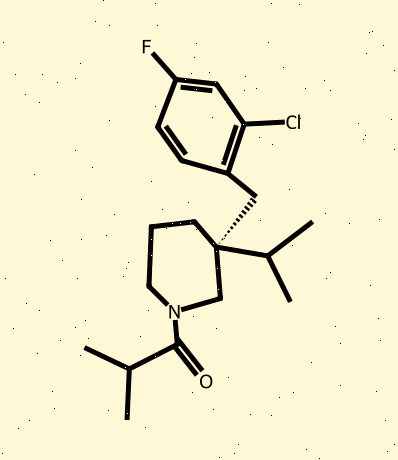 CC(C)C(=O)N1CCC[C@@](Cc2ccc(F)cc2Cl)(C(C)C)C1